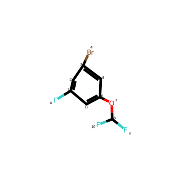 Fc1cc(Br)[c]c(OC(F)F)c1